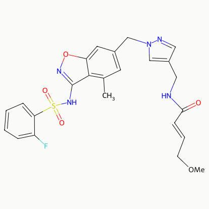 COC/C=C/C(=O)NCc1cnn(Cc2cc(C)c3c(NS(=O)(=O)c4ccccc4F)noc3c2)c1